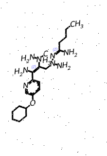 CCCC/C(N)=N/N(N)C/C(=C(/N)c1ccc(OC2CCCCC2)cn1)N(C)N